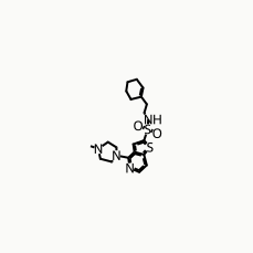 CN1CCN(c2nccc3sc(S(=O)(=O)NCCC4=CCCCC4)cc23)CC1